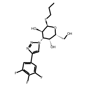 CCCS[C@H]1O[C@H](CO)[C@H](O)[C@H](n2cc(-c3cc(F)c(F)c(F)c3)nn2)[C@H]1O